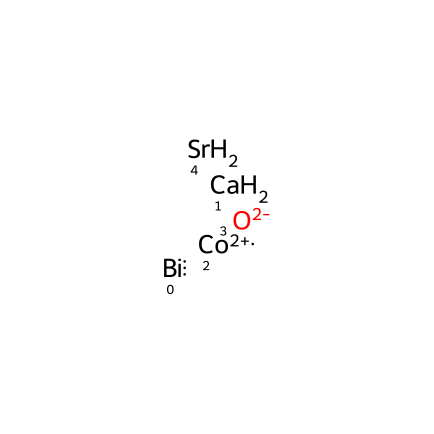 [Bi].[CaH2].[Co+2].[O-2].[SrH2]